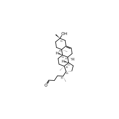 C[C@H](CCC=O)[C@H]1CC[C@H]2[C@@H]3CC=C4C[C@@](C)(O)CC[C@]4(C)[C@H]3CC[C@]12C